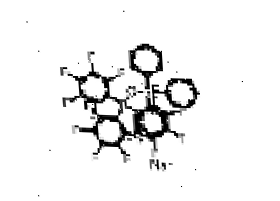 Fc1c(F)c(F)c([B-](O[Si](c2ccccc2)(c2ccccc2)c2ccccc2)(c2c(F)c(F)c(F)c(F)c2F)c2c(F)c(F)c(F)c(F)c2F)c(F)c1F.[Na+]